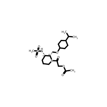 CC(=O)OCC(=O)N1CCC[C@H](NS(C)(=O)=O)[C@@H]1COC1CCC(C(C)C)CC1